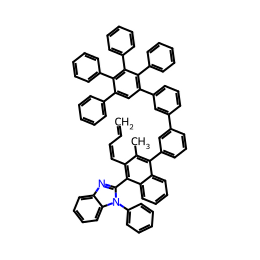 C=C/C=C\c1c(C)c(-c2cccc(-c3cccc(-c4cc(-c5ccccc5)c(-c5ccccc5)c(-c5ccccc5)c4-c4ccccc4)c3)c2)c2ccccc2c1-c1nc2ccccc2n1-c1ccccc1